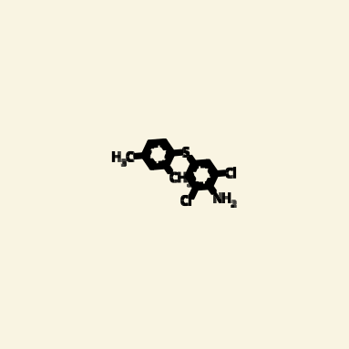 Cc1ccc(Sc2cc(Cl)c(N)c(Cl)c2)c(C)c1